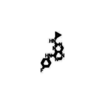 Fc1ccc(Nc2ncnc3cnc(NC4CC4)nc23)cc1